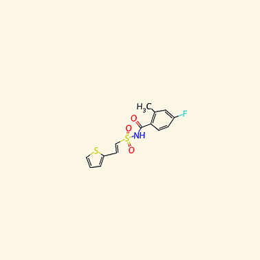 Cc1cc(F)ccc1C(=O)NS(=O)(=O)/C=C/c1cccs1